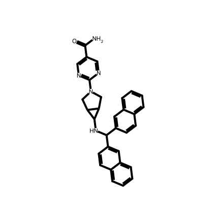 NC(=O)c1cnc(N2CC3C(C2)C3NC(c2ccc3ccccc3c2)c2ccc3ccccc3c2)nc1